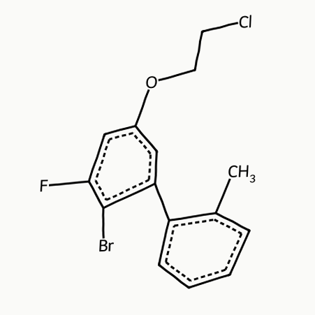 Cc1ccccc1-c1cc(OCCCl)cc(F)c1Br